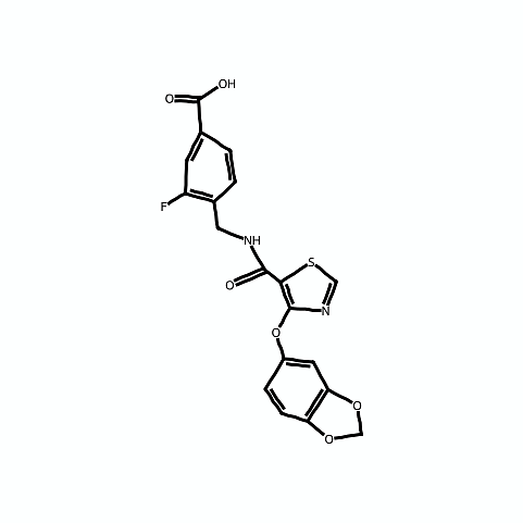 O=C(O)c1ccc(CNC(=O)c2scnc2Oc2ccc3c(c2)OCO3)c(F)c1